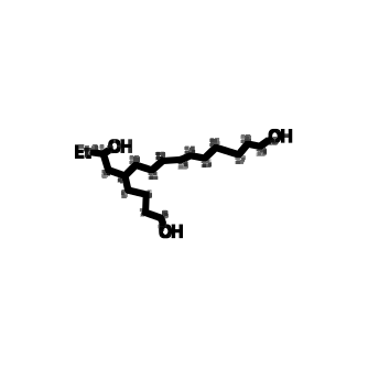 CCC(O)[CH]C(CCCCO)CCCCCCCCCCO